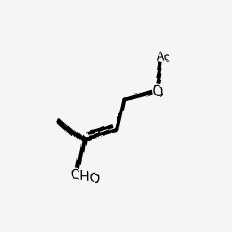 CC(=O)OCC=C(C)C=O